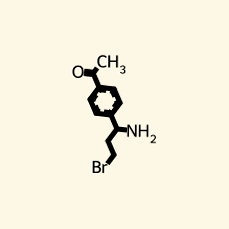 CC(=O)c1ccc(C(N)CCBr)cc1